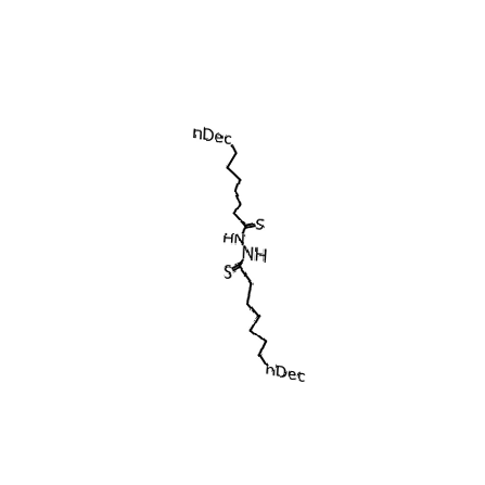 CCCCCCCCCCCCCCCCC(=S)NNC(=S)CCCCCCCCCCCCCCCC